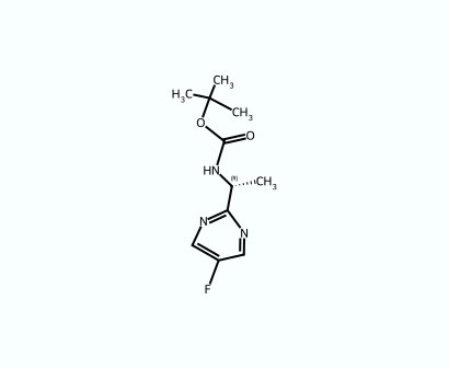 C[C@@H](NC(=O)OC(C)(C)C)c1ncc(F)cn1